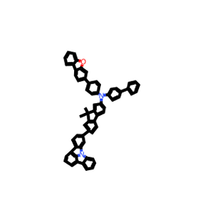 CC1(C)c2cc(-c3ccc4c5cccc6c7ccccc7n(c4c3)c65)ccc2-c2ccc(N(c3ccc(-c4ccccc4)cc3)c3ccc(-c4ccc5c(c4)oc4ccccc45)cc3)cc21